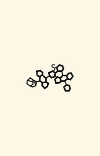 c1ccc(-c2c3ccccc3c(-c3cccc4sc5cc(-c6c7ccccc7c(C7C8CC9CC(C8)CC7C9)c7ccccc67)ccc5c34)c3ccccc23)cc1